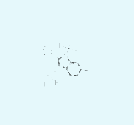 F[B-](F)(F)F.Fc1ccc2cc(C3CCC3)[s+](C(F)(F)F)c2c1